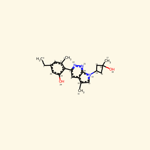 CCc1cc(C)c(-c2cc3c(C)cn(C4CC(C)(O)C4)c3nn2)c(O)c1